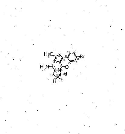 Cc1nc(C(=O)N2[C@H](CN)C[C@@H]3C[C@@H]32)c(-c2ccc(Br)cc2)s1